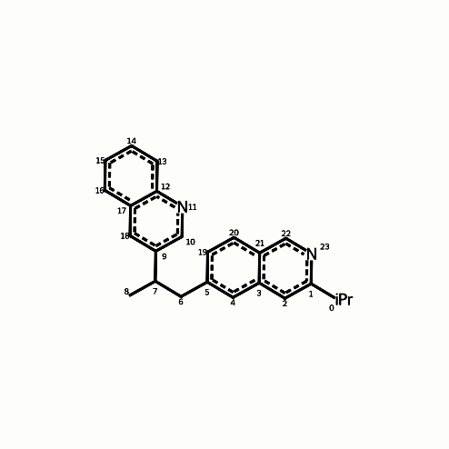 CC(C)c1cc2cc(CC(C)c3cnc4ccccc4c3)ccc2cn1